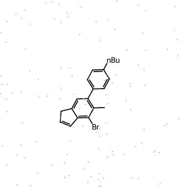 CCCCc1ccc(-c2cc3c(c(Br)c2C)C=CC3)cc1